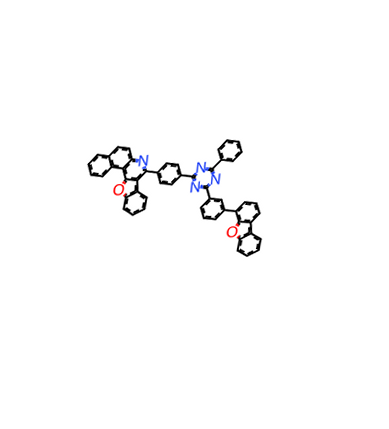 c1ccc(-c2nc(-c3ccc(-c4nc5ccc6ccccc6c5c5oc6ccccc6c45)cc3)nc(-c3cccc(-c4cccc5c4oc4ccccc45)c3)n2)cc1